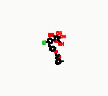 Cc1cccc2c1OC(C)(COc1ccc(Cc3cc([C@@H]4O[C@H](CO)[C@@H](O)[C@H](O)[C@H]4O)ccc3Cl)cc1)C2